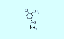 Cc1cc(C(=S)CN)ccc1Cl